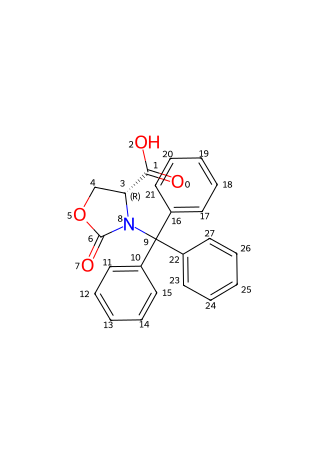 O=C(O)[C@H]1COC(=O)N1C(c1ccccc1)(c1ccccc1)c1ccccc1